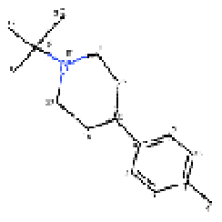 Cc1ccc(C2CCN(C(C)(C)C)CC2)cc1